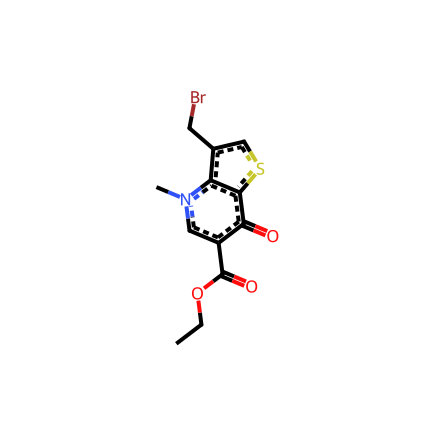 CCOC(=O)c1cn(C)c2c(CBr)csc2c1=O